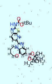 CC(C)(C)OC(=O)Nc1nc2ccc(-c3nc4cc(B5OC(C)(C)C(C)(C)O5)cc5c4n3CCCCO5)nc2s1